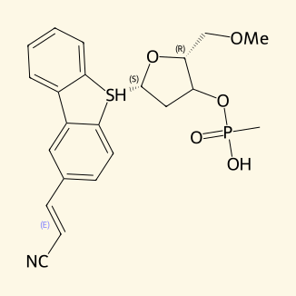 COC[C@H]1O[C@@H]([SH]2c3ccccc3-c3cc(/C=C/C#N)ccc32)CC1OP(C)(=O)O